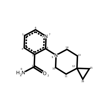 NC(=O)c1cccnc1N1CCC2(CC1)CC2